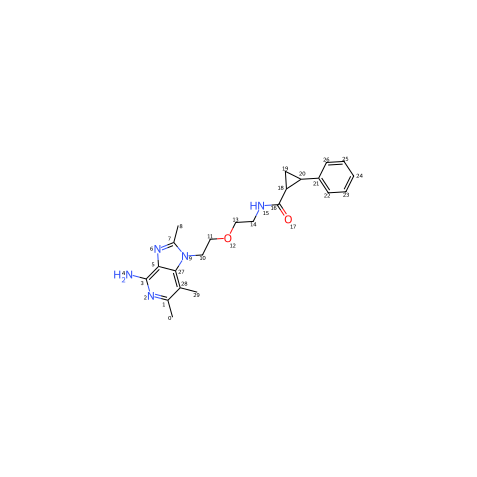 Cc1nc(N)c2nc(C)n(CCOCCNC(=O)C3CC3c3ccccc3)c2c1C